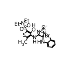 CCN(CC)S(=O)(=O)c1sc(C)c(Nc2n[s+]([O-])nc2Nc2ccccc2Br)c1O